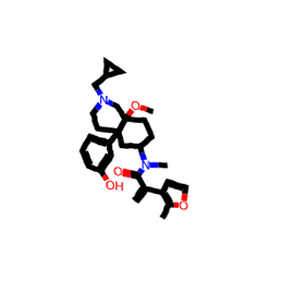 C=C(C(=O)N(C)C1CCC2(OC)CN(CC3CC3)CCC2(c2cccc(O)c2)C1)c1ccoc1C